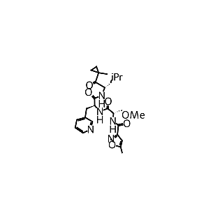 COC[C@H](NC(=O)c1cc(C)on1)C(=O)N[C@@H](Cc1cccnc1)C(=O)N[C@@H](CC(C)C)C(=O)C1(C)CC1